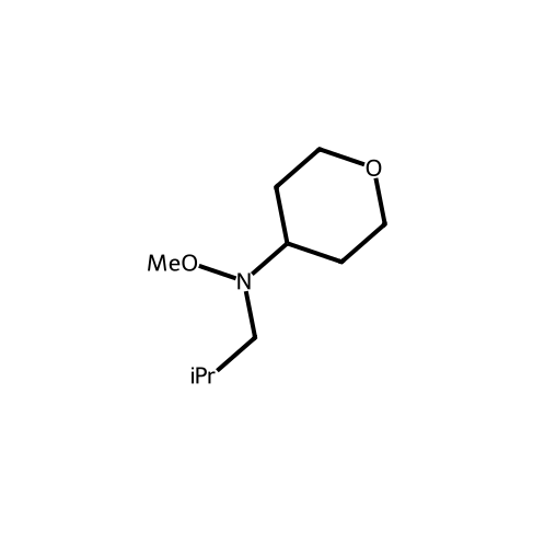 CON(CC(C)C)C1CCOCC1